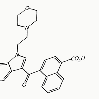 O=C(O)c1ccc(C(=O)c2cn(CCN3CCOCC3)c3ccccc23)c2ccccc12